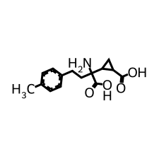 Cc1ccc(CCC(N)(C(=O)O)C2CC2C(=O)O)cc1